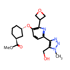 COC(=O)[C@H]1CCC[C@H](Oc2ccc(-c3nnn(C)c3CO)nc2C2COC2)C1